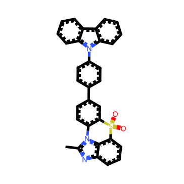 Cc1nc2cccc3c2n1-c1ccc(-c2ccc(-n4c5ccccc5c5ccccc54)cc2)cc1S3(=O)=O